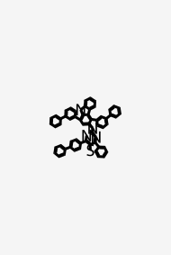 c1ccc(-c2ccc(-c3nc(-n4c5ccc(-c6ccccc6)cc5c5c6c7ccccc7n7c8ccc(-c9ccccc9)cc8c(cc54)c67)nc4c3sc3ccccc34)cc2)cc1